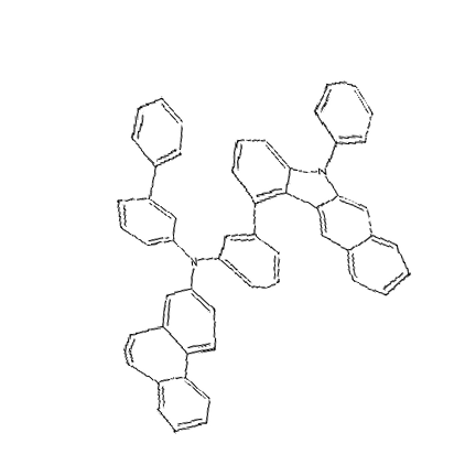 c1ccc(-c2cccc(N(c3cccc(-c4cccc5c4c4cc6ccccc6cc4n5-c4ccccc4)c3)c3ccc4c(ccc5ccccc54)c3)c2)cc1